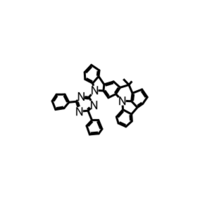 CC1(C)c2cc3c4ccccc4n(-c4nc(-c5ccccc5)nc(-c5ccccc5)n4)c3cc2-n2c3ccccc3c3cccc1c32